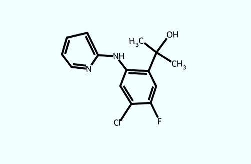 CC(C)(O)c1cc(F)c(Cl)cc1Nc1ccccn1